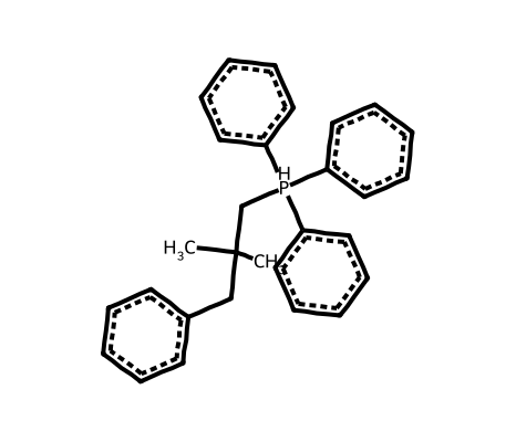 CC(C)(Cc1ccccc1)C[PH](c1ccccc1)(c1ccccc1)c1ccccc1